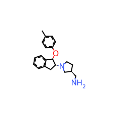 Cc1ccc(O[C@@H]2c3ccccc3C[C@H]2N2CC[C@@H](CN)C2)cc1